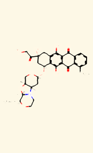 CCOC(=O)OCC(=O)[C@]1(O)Cc2c(O)c3c(c(O)c2[C@@H](O[C@H]2C[C@H]4[C@H](O[C@@H]5[C@@H](OC)OCCN54)[C@H](C)O2)C1)C(=O)c1c(OC)cccc1C3=O